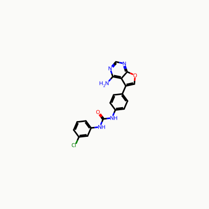 Nc1ncnc2occ(-c3ccc(NC(=O)Nc4cccc(Cl)c4)cc3)c12